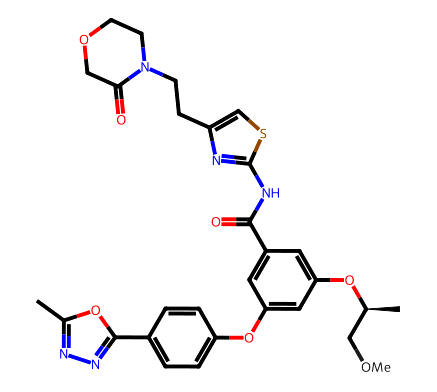 COC[C@H](C)Oc1cc(Oc2ccc(-c3nnc(C)o3)cc2)cc(C(=O)Nc2nc(CCN3CCOCC3=O)cs2)c1